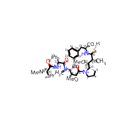 CC[C@H](C)[C@@H]([C@@H](CC(=O)N1CCC[C@H]1[C@H](OC)[C@@H](C)C(=S)N[C@@H](Cc1ccccc1)C(=O)O)OC)N(C)C(=O)[C@@H](NC(=O)[C@@H](NC)C(C)C)C(C)C